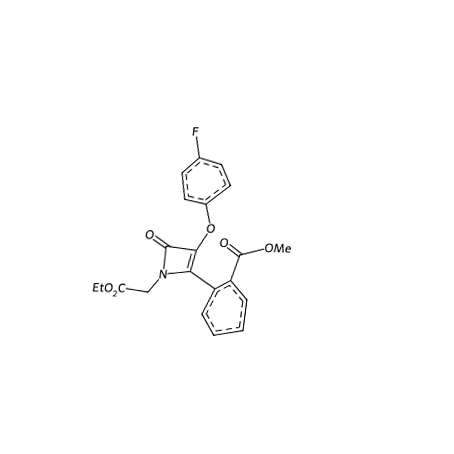 CCOC(=O)CN1C(=O)C(Oc2ccc(F)cc2)=C1c1ccccc1C(=O)OC